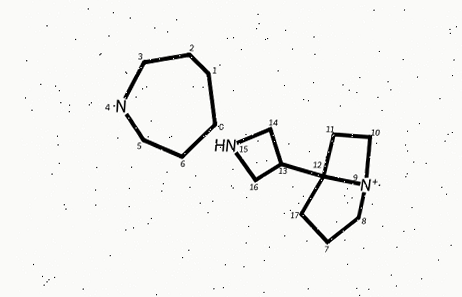 C1CCC[N]CC1.C1C[N+]2CCC2(C2CNC2)C1